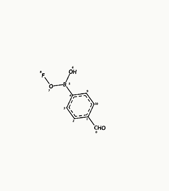 O=Cc1ccc(B(O)OF)cc1